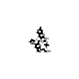 Cc1cc2nc(NC(=O)OC(C)(C)C)c(O[C@@H](C)c3nc4c(cnn4CCO)cc3-n3cccn3)cc2cn1